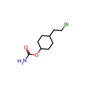 NC(=O)OC1CCC(CCBr)CC1